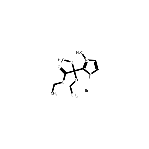 CCOC(=O)C(OC)(OCC)c1[nH]cc[n+]1C.[Br-]